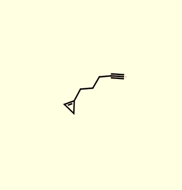 [C]#CCCCC1=CC1